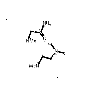 CNCC(N)=O.CNCCN(C)C